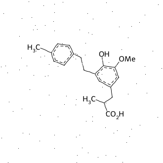 COc1cc(CC(C)C(=O)O)cc(CCc2ccc(C)cc2)c1O